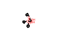 OC1C(OCc2ccccc2)[C@H](OCc2ccccc2)OC(COCc2ccccc2)[C@@H]1O